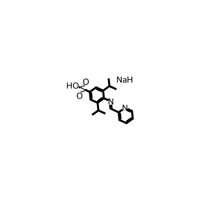 CC(C)c1cc(S(=O)(=O)O)cc(C(C)C)c1N=Cc1ccccn1.[NaH]